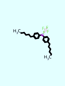 CCCCCCc1ccc([I+]c2ccc(CCCCCC)cc2)cc1.F[B-](F)(F)F